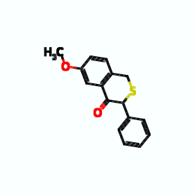 COc1ccc2c(c1)C(=O)C(c1ccccc1)SC2